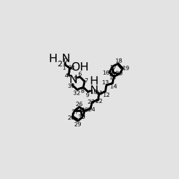 NCC(O)CN1CCC(CNC(CCCC2CC3C=CC2C3)CCCC2CC3C=CC2C3)CC1